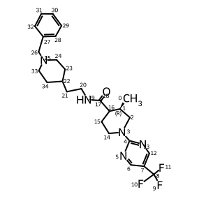 C[C@H]1CN(c2ncc(C(F)(F)F)cn2)CCC1C(=O)NCCC1CCN(Cc2ccccc2)CC1